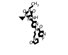 CCCn1c(=O)c2[nH]c(-c3ccc(N(CCCN4CCCC4=O)C(=O)c4ccc(F)nc4)nc3)nc2n(C2CC2)c1=O